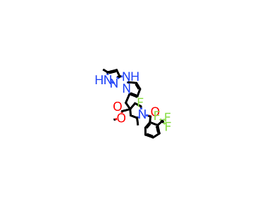 COC(=O)C1(Cc2nc(Nc3cc(C)[nH]n3)ccc2F)CCN(C(=O)c2ccccc2C(F)(F)F)C(C)C1